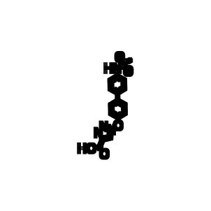 CS(=O)(=O)Nc1ccc(-c2ccc(On3cc(C(=O)O)nn3)cc2)cc1